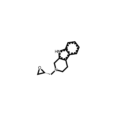 c1ccc2c3c([nH]c2c1)CN(C[C@@H]1CO1)CC3